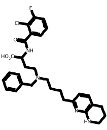 O=C(NC(CCN(CCCCc1ccc2c(n1)NCCC2)Cc1ccccc1)C(=O)O)c1cccc(F)c1Cl